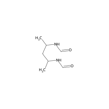 CC(CC(C)NC=O)NC=O